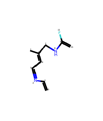 C=C/N=C\C=C(/C)CNC(=C)F